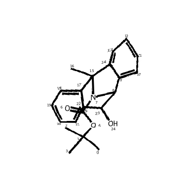 CC(C)(C)OC(=O)N1C2c3ccccc3C1(C)c1ccccc1C2O